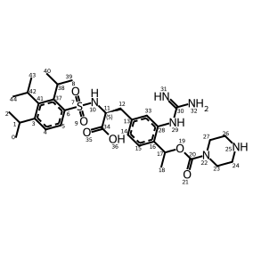 CC(C)c1ccc(S(=O)(=O)N[C@@H](Cc2ccc(C(C)OC(=O)N3CCNCC3)c(NC(=N)N)c2)C(=O)O)c(C(C)C)c1C(C)C